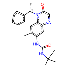 Cc1cc2c(cc1NC(=O)NC(C)(C)C)ncc(=O)n2[C@@H](C)c1ccccc1